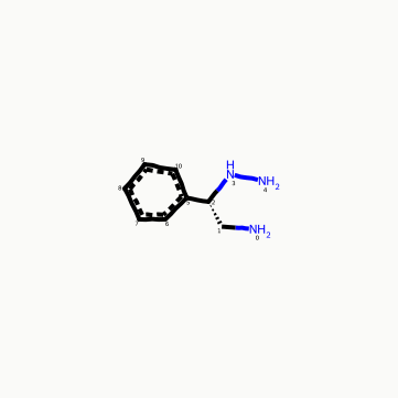 NC[C@@H](NN)c1ccccc1